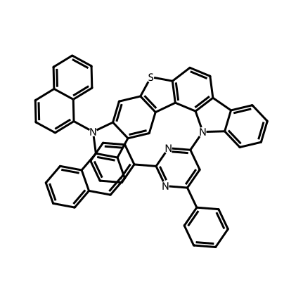 c1ccc(-c2cc(-n3c4ccccc4c4ccc5sc6cc7c(cc6c5c43)c3ccc4ccccc4c3n7-c3cccc4ccccc34)nc(-c3ccccc3)n2)cc1